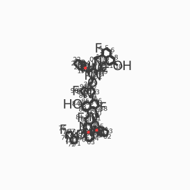 C#Cc1c(F)ccc2cc(O)cc(-c3ncc4c(N5CC6CCC(C5)N6C=O)nc(OC[C@@]56CCC(c7cc(F)c(C#C)c8c(-c9ncc%10c(N%11CC%12CCC(C%11)N%12C(=O)c%11ccccc%11)nc(OC[C@@]%11%12CCCN%11C[C@H](F)C%12)nc%10c9F)cc(O)cc78)N5C[C@H](F)C6)nc4c3F)c12